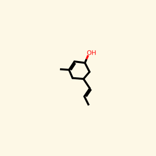 CC=CC1CC(C)=CC(O)C1